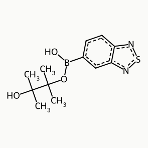 CC(C)(O)C(C)(C)OB(O)c1ccc2nsnc2c1